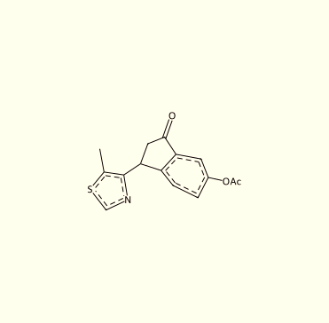 CC(=O)Oc1ccc2c(c1)C(=O)CC2c1ncsc1C